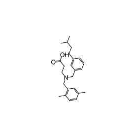 Cc1ccc(C)c(CN(CCC(=O)O)Cc2cccc(CCC(C)C)c2)c1